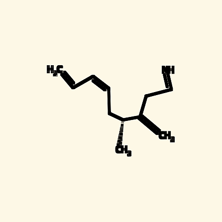 C=C/C=C\C[C@@H](C)C(=C)CC=N